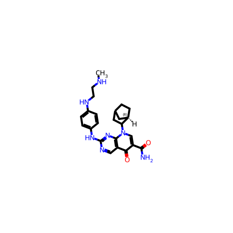 CNCCNc1ccc(Nc2ncc3c(=O)c(C(N)=O)cn(C4CC5CC[C@@H]4C5)c3n2)cc1